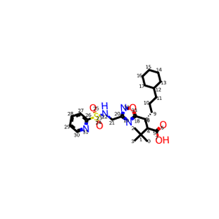 CC(C)(C)C(C(=O)O)[C@@H](CCCC1CCCCC1)c1nc(CNS(=O)(=O)c2ccccn2)no1